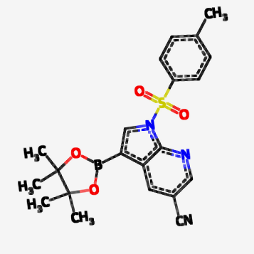 Cc1ccc(S(=O)(=O)n2cc(B3OC(C)(C)C(C)(C)O3)c3cc(C#N)cnc32)cc1